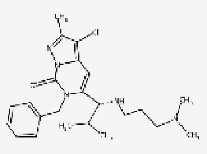 Cc1nn2c(=O)n(Cc3ccccc3)c([C@H](NCCCN(C)C)C(C)C)cc2c1Cl